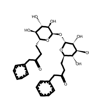 O=C(CC[C@H]1O[C@H](O[C@H]2O[C@H](CCC(=O)Cc3ccccc3)[C@@H](O)[C@H](O)[C@H]2O)[C@H](O)[C@@H](O)[C@@H]1O)Cc1ccccc1